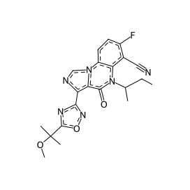 CCC(C)n1c(=O)c2c(-c3noc(C(C)(C)OC)n3)ncn2c2ccc(F)c(C#N)c21